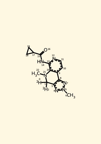 [2H]C1([2H])c2nn(C)nc2-c2ccnc(NC(=O)C3CC3)c2N1C